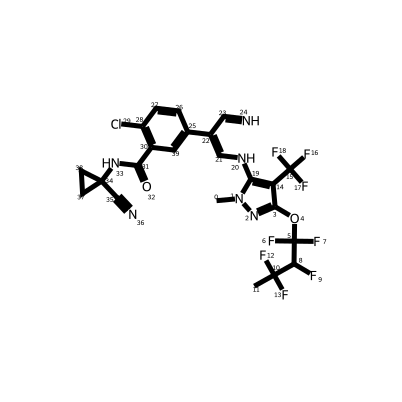 Cn1nc(OC(F)(F)C(F)C(C)(F)F)c(C(F)(F)F)c1N/C=C(\C=N)c1ccc(Cl)c(C(=O)NC2(C#N)CC2)c1